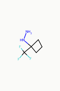 NNC1(C(F)(F)F)CCC1